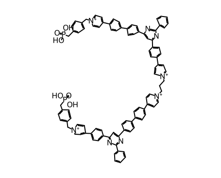 O=P(O)(O)Cc1ccc(C[n+]2ccc(-c3ccc(-c4ccc(-c5cc(-c6ccc(-c7cc[n+](CCC[n+]8ccc(-c9ccc(-c%10ccc(-c%11cc(-c%12ccc(-c%13cc[n+](Cc%14ccc(CP(=O)(O)O)cc%14)cc%13)cc%12)nc(-c%12ccccc%12)n%11)cc%10)cc9)cc8)cc7)cc6)nc(-c6ccccc6)n5)cc4)cc3)cc2)cc1